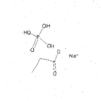 CCC(=O)[O-].O=P(O)(O)O.[Na+]